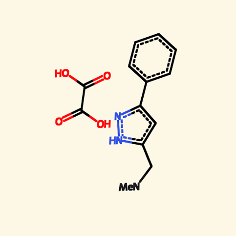 CNCc1cc(-c2ccccc2)n[nH]1.O=C(O)C(=O)O